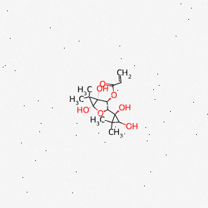 C=CC(=O)O[C@H]1[C@@H]([C@]2(O)C(O)C2(C)C)O[C@@]2(O)C(C)(C)[C@@]12O